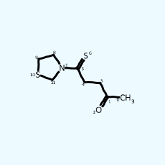 CC(=O)CCC(=S)N1CCSC1